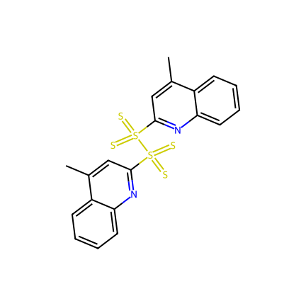 Cc1cc(S(=S)(=S)S(=S)(=S)c2cc(C)c3ccccc3n2)nc2ccccc12